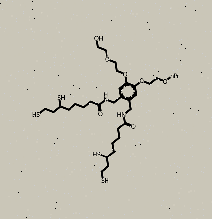 CCCOCCOc1cc(CNC(=O)CCCCC(S)CCS)c(CNC(=O)CCCCC(S)CCS)cc1OCCOCCO